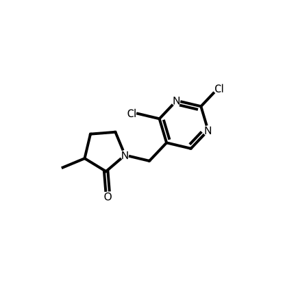 CC1CCN(Cc2cnc(Cl)nc2Cl)C1=O